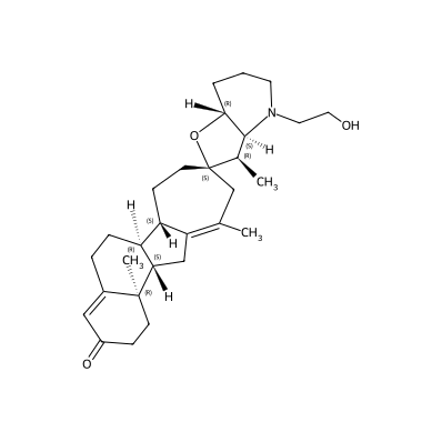 CC1=C2C[C@H]3[C@@H](CCC4=CC(=O)CC[C@@]43C)[C@@H]2CC[C@@]2(C1)O[C@@H]1CCCN(CCO)[C@H]1[C@H]2C